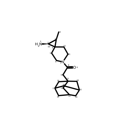 CC1[C@H](N)C12CCN(C(=O)CC13CC4CC(CC(C4)C1)C3)CC2